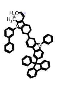 C/C=C\c1c2c(n(-c3cccc(-c4ccccc4)c3)c1C)CC(C1C=Cc3c(n(-c4ccccc4)c4ccc(C5(c6ccccc6)c6ccccc6-c6ccccc65)cc34)C1)CC2